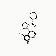 N#Cc1c[nH]c2nccc(N3CCC[C@@H]3C(=O)N3CCCCC3)c12